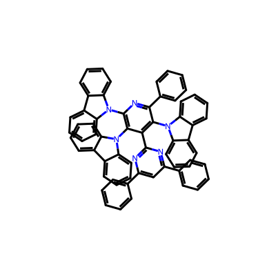 c1ccc(-c2cc(-c3ccccc3)nc(-c3c(-n4c5ccccc5c5ccccc54)c(-c4ccccc4)nc(-n4c5ccccc5c5ccccc54)c3-n3c4ccccc4c4ccccc43)n2)cc1